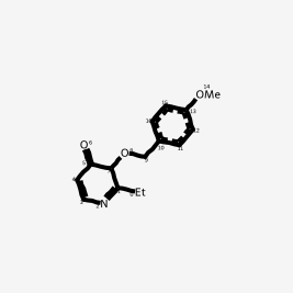 CCC1=NC=CC(=O)C1OCc1ccc(OC)cc1